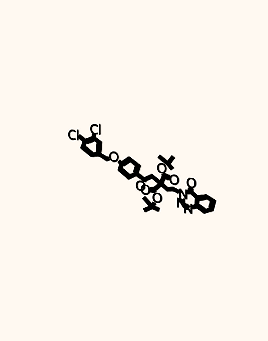 CC(C)(C)OC(=O)C(CCn1nnc2ccccc2c1=O)(CC(=O)c1ccc(OCc2ccc(Cl)c(Cl)c2)cc1)C(=O)OC(C)(C)C